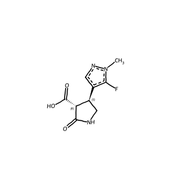 Cn1ncc([C@H]2CNC(=O)[C@@H]2C(=O)O)c1F